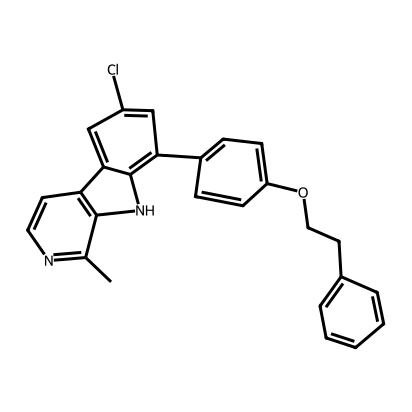 Cc1nccc2c1[nH]c1c(-c3ccc(OCCc4ccccc4)cc3)cc(Cl)cc12